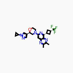 Cc1nc2cc(N3CCO[C@H](c4cnn(C5CC5)c4)C3)nc([C@H]3C[C@@H](C(F)(F)F)C3)c2nc1C